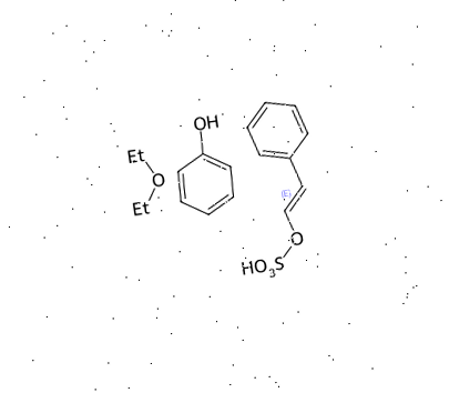 CCOCC.O=S(=O)(O)O/C=C/c1ccccc1.Oc1ccccc1